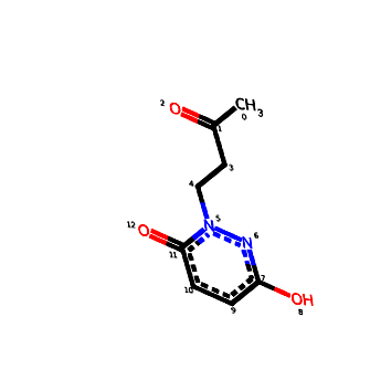 CC(=O)CCn1nc(O)ccc1=O